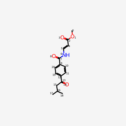 COC(=O)C=CNC(=O)c1ccc(C(=O)CC(C)C)cc1